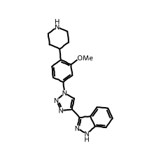 COc1cc(-n2cc(-c3n[nH]c4ccccc34)nn2)ccc1C1CCNCC1